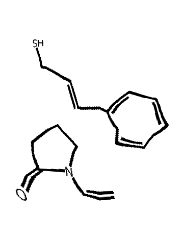 C=CN1CCCC1=O.SCC=Cc1ccccc1